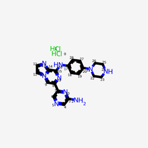 Cl.Cl.Nc1cncc(-c2cn3ccnc3c(Nc3ccc(N4CCNCC4)cc3)n2)n1